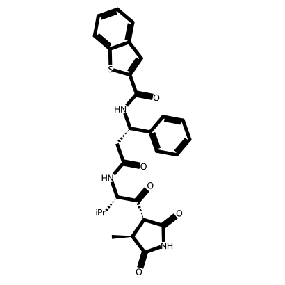 CC(C)[C@H](NC(=O)C[C@H](NC(=O)c1cc2ccccc2s1)c1ccccc1)C(=O)[C@@H]1C(=O)NC(=O)[C@H]1C